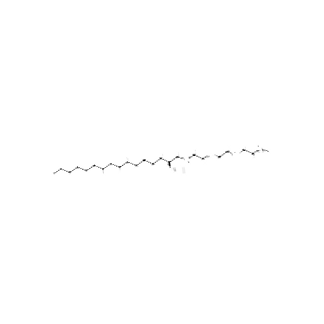 CCCCCCCCCCCCCCC(O)CNCCOCCOCCNC